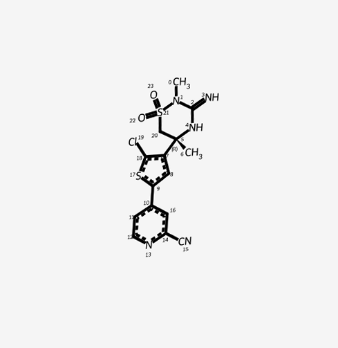 CN1C(=N)N[C@](C)(c2cc(-c3ccnc(C#N)c3)sc2Cl)CS1(=O)=O